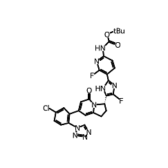 CC(C)(C)OC(=O)Nc1ccc(-c2nc(F)c([C@@H]3CCc4cc(-c5cc(Cl)ccc5-n5cnnn5)cc(=O)n43)[nH]2)c(F)n1